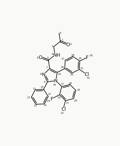 CC(=O)CNC(=O)c1nc(-c2ccccc2)n(-c2cccc(Cl)c2F)c1-c1ccc(F)c(Cl)c1